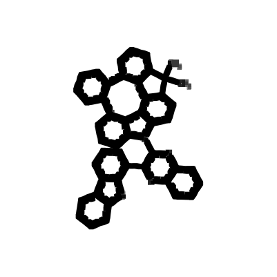 CC1(C)c2cccc3c4ccccc4c4cccc5c4c4c(c1ccc4n5-c1nc4ccccc4nc1-c1cccc4c1sc1ccccc14)c23